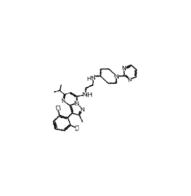 Cc1nn2c(NCCNC3CCN(c4ncccn4)CC3)cc(C(C)C)nc2c1-c1c(Cl)cccc1Cl